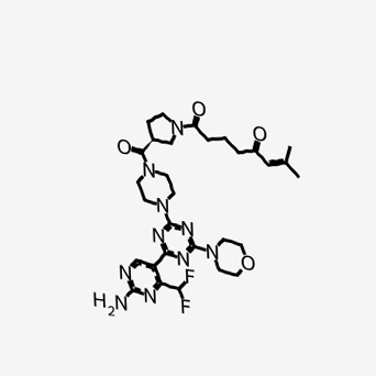 CC(C)=CC(=O)CCCC(=O)N1CC[C@H](C(=O)N2CCN(c3nc(-c4cnc(N)nc4C(F)F)nc(N4CCOCC4)n3)CC2)C1